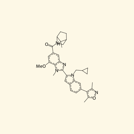 COc1cc(C(=O)N2CC3CCC2[C@@H]3C)cc2nc(-c3cc4ccc(-c5c(C)noc5C)cc4n3CC3CC3)n(C)c12